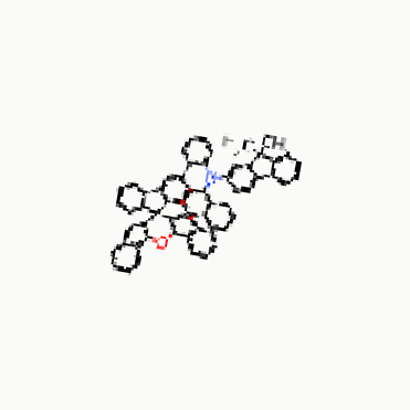 CC1(C)c2ccccc2-c2ccc(N(c3ccccc3-c3ccc4c(c3)-c3ccccc3C43c4ccc5ccccc5c4Oc4c3ccc3ccccc43)c3cccc4ccccc34)cc21